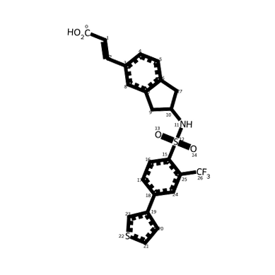 O=C(O)/C=C/c1ccc2c(c1)CC(NS(=O)(=O)c1ccc(-c3ccsc3)cc1C(F)(F)F)C2